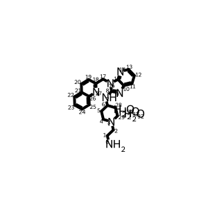 NCCN1CCC(Nc2nc3cccnc3n2Cc2ccc3ccccc3n2)CC1.O.O.O